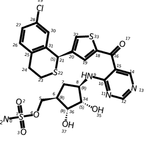 NS(=O)(=O)OC[C@H]1C[C@@H](Nc2ncncc2C(=O)c2cc([C@H]3SCCc4ccc(Cl)cc43)cs2)[C@H](O)[C@@H]1O